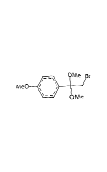 COc1ccc(C(CBr)(OC)OC)cc1